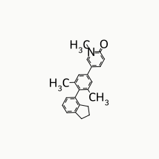 Cc1cc(-c2ccc(=O)n(C)c2)cc(C)c1-c1cccc2c1CCC2